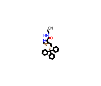 N#CCCNC(=O)c1ncsc1/C=C\SC(c1ccccc1)(c1ccccc1)c1ccccc1